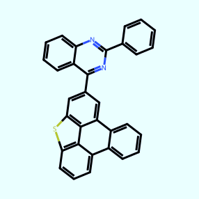 c1ccc(-c2nc(-c3cc4sc5cccc6c7ccccc7c(c3)c4c56)c3ccccc3n2)cc1